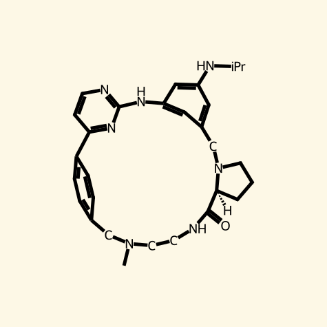 CC(C)Nc1cc2cc(c1)Nc1nccc(n1)-c1ccc(cc1)CN(C)CCNC(=O)[C@@H]1CCCN1C2